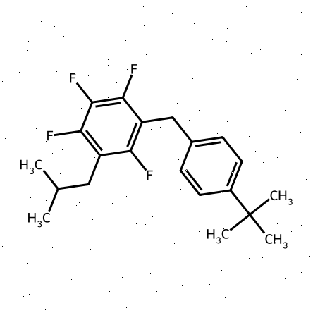 CC(C)Cc1c(F)c(F)c(F)c(Cc2ccc(C(C)(C)C)cc2)c1F